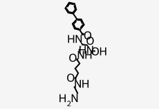 NCCNC(=O)CCCC(=O)NC[C@H](NC(=O)c1ccc(-c2ccccc2)cc1)C(=O)NO